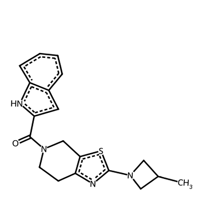 C[C]1CN(c2nc3c(s2)CN(C(=O)c2cc4ccccc4[nH]2)CC3)C1